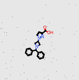 O=C(O)c1ccn(C2CN(C(c3ccccc3)c3ccccc3)C2)n1